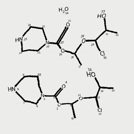 CC(OC(=O)N1CCNCC1)OC(Cl)C(C)O.CC(OC(=O)N1CCNCC1)OC(Cl)C(C)O.O